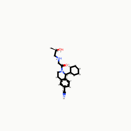 C[C@@H](O)CNCC(=O)N1CCc2cc(C#N)ccc2C1C1CCCCC1